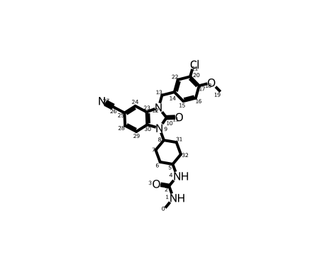 CNC(=O)NC1CCC(n2c(=O)n(Cc3ccc(OC)c(Cl)c3)c3cc(C#N)ccc32)CC1